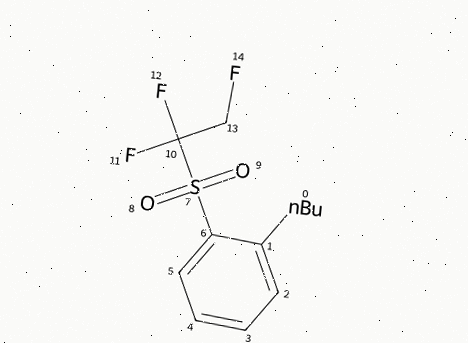 CCCCc1ccccc1S(=O)(=O)C(F)(F)CF